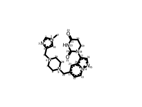 Cn1cnc(CN2CCN(Cc3ccn4ncc(N5CCC(=O)NC5=O)c4c3)CC2)c1